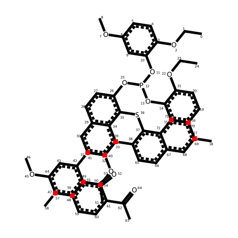 CCOc1ccc(OC)cc1OP(Oc1cc(OC)ccc1OCC)Oc1ccc2ccccc2c1Sc1c(OP(Oc2cc(OC)ccc2C(C)=O)Oc2cc(OC)ccc2C(C)=O)ccc2ccccc12